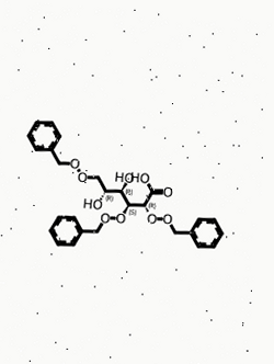 O=C(O)[C@H](OOCc1ccccc1)[C@@H](OOCc1ccccc1)[C@H](O)[C@H](O)COOCc1ccccc1